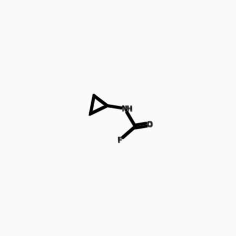 O=C(F)NC1CC1